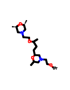 CC(C)OCCN1CC(C)OC(CCC(C)OCCN2C[C@@H](C)O[C@@H](C)C2)C1